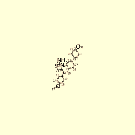 COc1ccc(-c2ccc(C[C@@H](c3ccc(OC)cc3)c3csc(N)n3)cc2)cc1